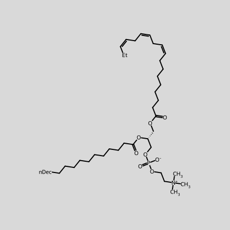 CC/C=C\C/C=C\C/C=C\CCCCCCCC(=O)OC[C@H](COP(=O)([O-])OCC[N+](C)(C)C)OC(=O)CCCCCCCCCCCCCCCCCCCC